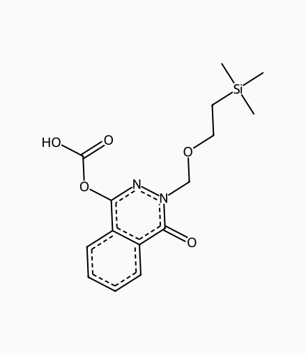 C[Si](C)(C)CCOCn1nc(OC(=O)O)c2ccccc2c1=O